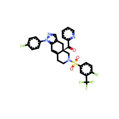 O=C(c1ccccn1)[C@]12Cc3cnn(-c4ccc(F)cc4)c3C=C1CCN(S(=O)(=O)c1ccc(F)c(C(F)(F)F)c1)C2